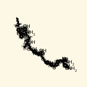 C=C/C=C/C=C(\C)[C@H](C[C@@H]1CC[C@@H](C)[C@](O)(C(=O)C(=O)N2CCCC[C@H]2C(=O)O[C@@H](C[C@@H](O)[C@H](C)/C=C(\C)[C@@H](O)[C@@H](OC)/C(=N/OCC(=O)NCc2cnc(N3CCN(C(=O)CCOCCN4CCN(c5ncc(C(=O)N6CCc7cc(Cn8nc(-c9ccc%10oc(N)nc%10c9)c9c(N)ncnc98)ccc7C6)cn5)CC4)[C@@H](C(=O)O)C3)nc2)[C@H](C)CC(C)C)[C@H](N)C[C@@H]2CC[C@@H](O)[C@H](OC)C2)O1)OC